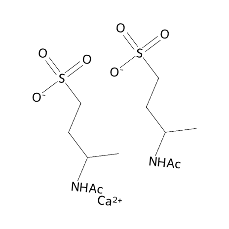 CC(=O)NC(C)CCS(=O)(=O)[O-].CC(=O)NC(C)CCS(=O)(=O)[O-].[Ca+2]